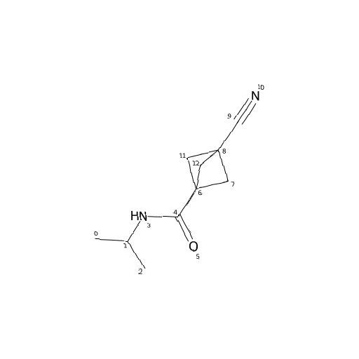 CC(C)NC(=O)C12CC(C#N)(C1)C2